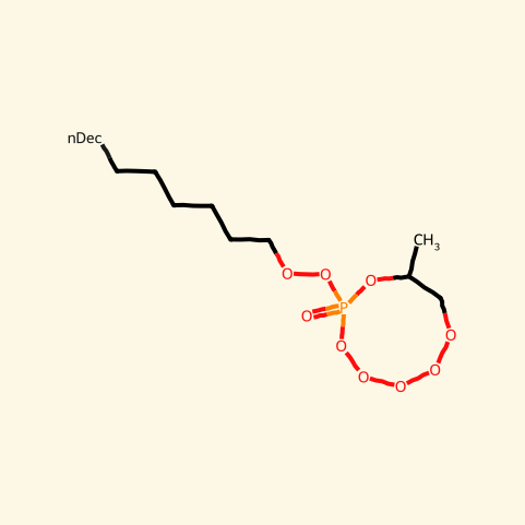 CCCCCCCCCCCCCCCCOOP1(=O)OOOOOCC(C)O1